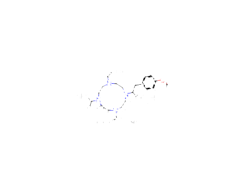 CCCC(C(=O)[O-])N1CCN(CC(=O)[O-])CCN(C(Cc2ccc(OCC)cc2)C(=O)O)CCN(CC(=O)[O-])CC1.[Gd+3]